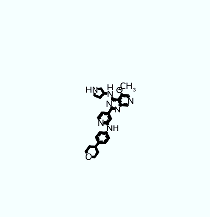 COc1cncc2nc(-c3ccnc(Nc4ccc(C5CCOCC5)cc4)c3)nc(NC3CCNC3)c12